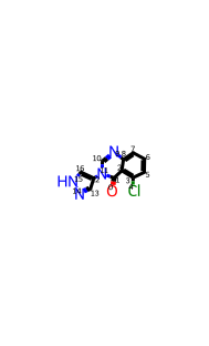 O=c1c2c(Cl)cccc2ncn1-c1cn[nH]c1